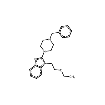 CCOCCn1c(N2CCN(Cc3ccccc3)CC2)nc2ccccc21